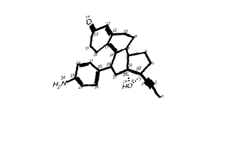 CC#C[C@]1(O)CCC2C3CCC4=CC(=O)CCC4=C3C(c3ccc(N)cc3)C[C@@]21C